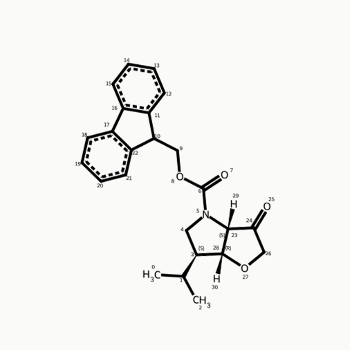 CC(C)[C@H]1CN(C(=O)OCC2c3ccccc3-c3ccccc32)[C@@H]2C(=O)CO[C@H]12